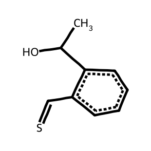 CC(O)c1ccccc1C=S